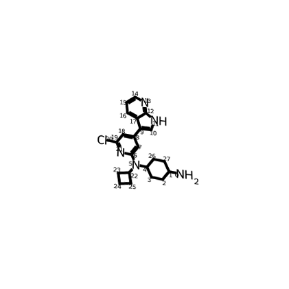 NC1CCC(N(c2cc(-c3c[nH]c4ncccc34)cc(Cl)n2)C2CCC2)CC1